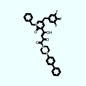 O=C(C=C(O)c1cc(Cc2cc(F)c(F)c(F)c2)cn(Cc2ccccc2)c1=O)C(=O)N1CCN(c2ccc(-c3ccccc3)cc2)CC1